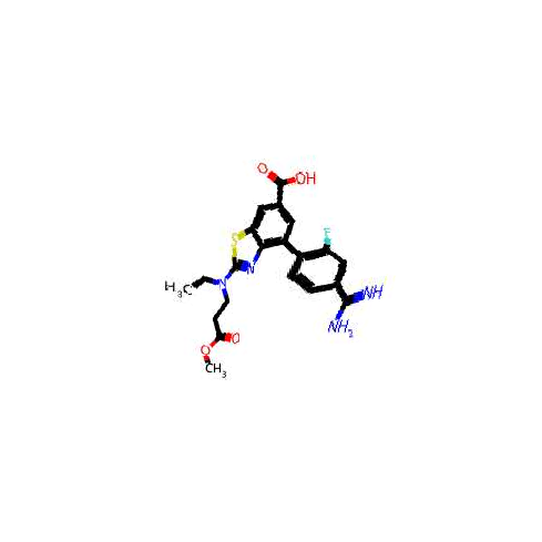 CCN(CCC(=O)OC)c1nc2c(-c3ccc(C(=N)N)cc3F)cc(C(=O)O)cc2s1